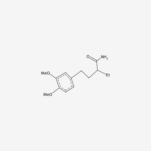 CCC(CCc1ccc(OC)c(OC)c1)C(N)=O